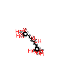 COc1cc(/C=C/C(=O)/C=C(O)/C=C/c2cc(O)c(O)c(OC)c2)cc(O)c1O